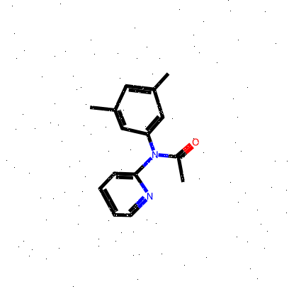 CC(=O)N(c1cc(C)cc(C)c1)c1ccccn1